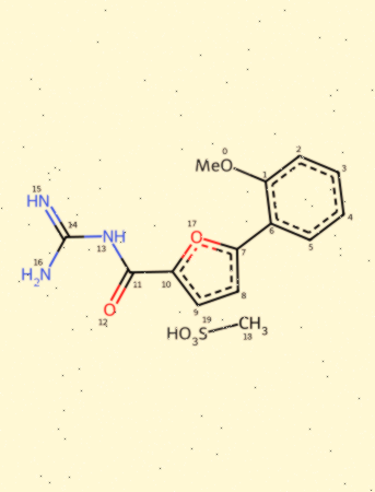 COc1ccccc1-c1ccc(C(=O)NC(=N)N)o1.CS(=O)(=O)O